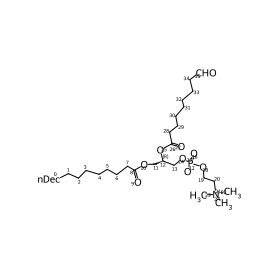 CCCCCCCCCCCCCCCCCC(=O)OC[C@H](COP(=O)([O-])OCC[N+](C)(C)C)OC(=O)CCCCCCCC=O